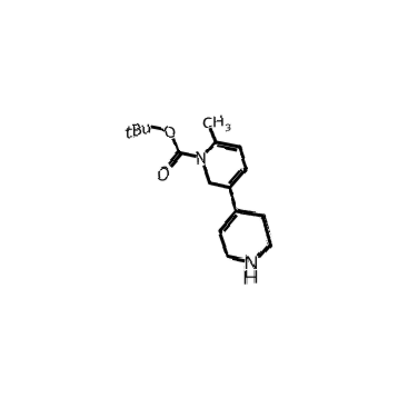 CC1=CC=C(C2=CCNCC2)CN1C(=O)OC(C)(C)C